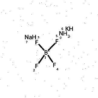 F[B-](F)(F)F.N.[KH].[NaH]